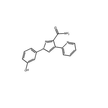 NC(=O)c1nn(-c2cccc(O)c2)cc1-c1ccccn1